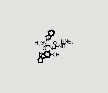 CCNCCNC(=O)CN(CC(=O)N(C)N1Cc2ccccc2C1)c1cc2nn3c(c2cc1C)CCC3